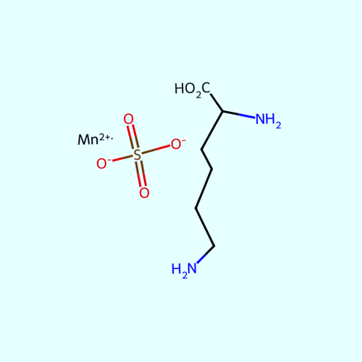 NCCCCC(N)C(=O)O.O=S(=O)([O-])[O-].[Mn+2]